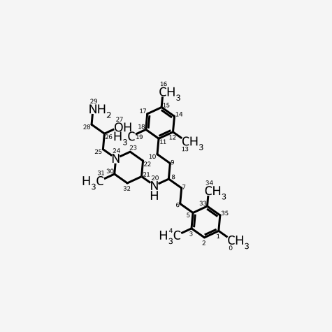 Cc1cc(C)c(CCC(CCc2c(C)cc(C)cc2C)NC2CCN(CC(O)CN)C(C)C2)c(C)c1